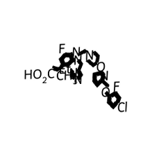 CCn1cncc1Cn1c(CN2CCC(Oc3cccc(COc4ccc(Cl)cc4F)n3)CC2)nc2c(F)cc(/C(C)=C/C(=O)O)cc21